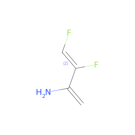 C=C(N)/C(F)=C/F